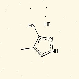 Cc1c[nH]nc1S.F